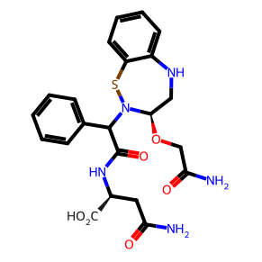 NC(=O)CO[C@@H]1CNc2ccccc2SN1C(C(=O)N[C@@H](CC(N)=O)C(=O)O)c1ccccc1